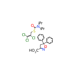 CC(C)N(C(=O)SCC(Cl)=C(Cl)Cl)C(C)C.O=C(O)C1=NOC(c2ccccc2)(c2ccccc2)C1